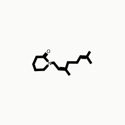 CC(C)=CCCC(C)=CCN1CCCCC1=O